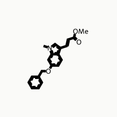 COC(=O)/C=C/c1cn(C)c2cc(OCc3ccccc3)ccc12